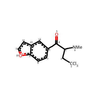 CNC(CC(Cl)(Cl)Cl)C(=O)c1ccc2occc2c1